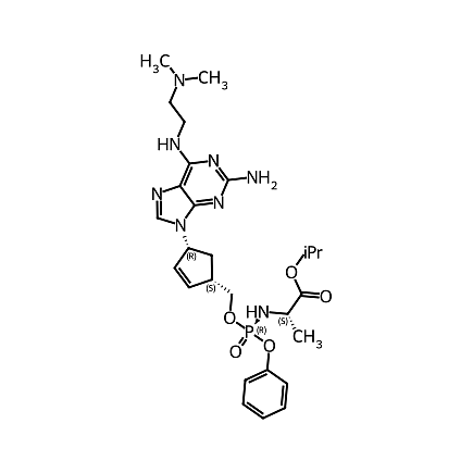 CC(C)OC(=O)[C@H](C)N[P@@](=O)(OC[C@@H]1C=C[C@H](n2cnc3c(NCCN(C)C)nc(N)nc32)C1)Oc1ccccc1